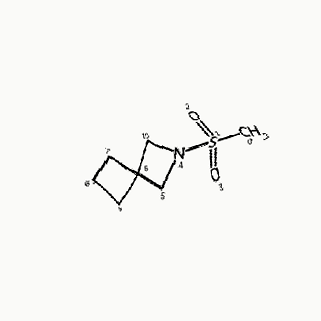 CS(=O)(=O)N1CC2(C[CH]C2)C1